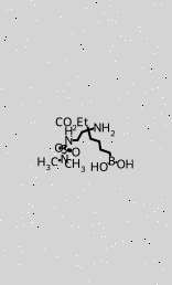 CCOC(=O)C(N)(CCCCB(O)O)CCNS(=O)(=O)N(C)C